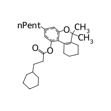 CCCCCc1cc(OC(=O)CCC2CCCCC2)c2c(c1)OC(C)(C)C1=C2CCCC1